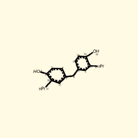 CCCc1cc(Cc2ccc(O)c(CCC)c2)ccc1O